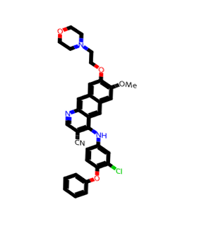 COc1cc2cc3c(Nc4ccc(Oc5ccccc5)c(Cl)c4)c(C#N)cnc3cc2cc1OCCN1CCOCC1